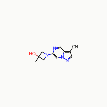 CC1(O)CN(c2cn3ncc(C#N)c3cn2)C1